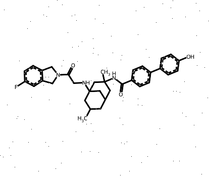 CC1CC2CC(C)(NC(=O)c3ccc(-c4ccc(O)cc4)cc3)CC(NCC(=O)N3Cc4ccc(F)cc4C3)(C1)C2